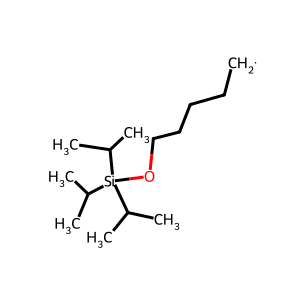 [CH2]CCCCO[Si](C(C)C)(C(C)C)C(C)C